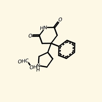 O=C1CC(c2ccccc2)(C2CCNC2)CC(=O)N1.O=CO